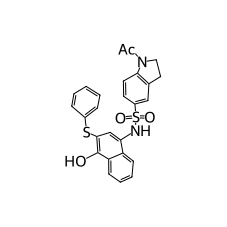 CC(=O)N1CCc2cc(S(=O)(=O)Nc3cc(Sc4ccccc4)c(O)c4ccccc34)ccc21